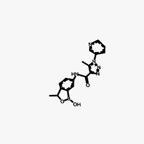 Cc1c(C(=O)Nc2ccc3c(c2)B(O)OC3C)nnn1-c1cccnc1